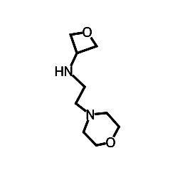 C(CN1CCOCC1)NC1COC1